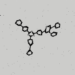 c1ccc(-c2ccc(-c3nc(-c4ccc(-c5ccccc5)cc4)nc(-c4ccc(-c5cc(-c6ccccc6)c(-c6ccccc6)cn5)cc4)n3)cc2)cc1